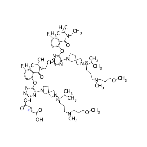 CCN(C(=O)c1cc(F)ccc1Oc1nncnc1N1CCC2(C1)CN([C@H](CCCN(C)CCCOC)C(C)C)C2)C(C)C.CCN(C(=O)c1cc(F)ccc1Oc1nncnc1N1CCC2(C1)CN([C@H](CCCN(C)CCCOC)C(C)C)C2)C(C)C.O=C(O)/C=C/C(=O)O